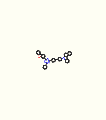 c1ccc(-c2nc(-c3ccc(-c4ccc(-n5c6ccccc6c6c7ccccc7ccc65)cc4)cc3)nc(-c3ccc4c(c3)oc3ccccc34)n2)cc1